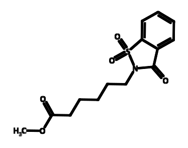 COC(=O)CCCCCN1C(=O)c2ccccc2S1(=O)=O